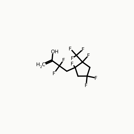 C=C(O)C(F)(F)CC1(F)CC(F)(F)CC1(F)C(F)(F)F